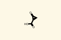 O=C(O)c1cc1=O